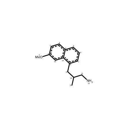 COc1ccc2cccc(CC(C)CN)c2c1